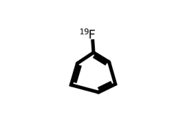 [19F]c1ccccc1